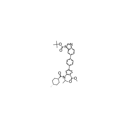 COC(=O)c1sc(-c2ccc(-c3ccc4ncn(C(=O)OC(C)(C)C)c4c3)cc2)cc1N(C(=O)[C@H]1CC[C@H](C)CC1)C(C)C